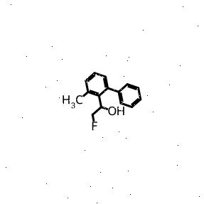 Cc1cccc(-c2ccccc2)c1C(O)CF